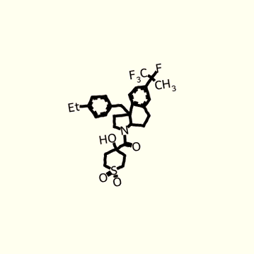 CCc1ccc(CC23CCN(C(=O)C4(O)CCS(=O)(=O)CC4)C2CCc2cc(C(C)(F)C(F)(F)F)ccc23)cc1